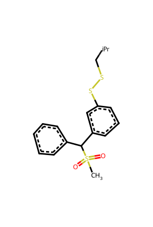 CC(C)CSSc1cccc(C(c2ccccc2)S(C)(=O)=O)c1